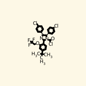 CC(C)(C)c1ccc(C2=N[C@@H](c3ccc(Cl)cc3)[C@@H](c3ccc(Cl)cc3)N2C(=O)Cl)c(OCC(F)(F)F)c1